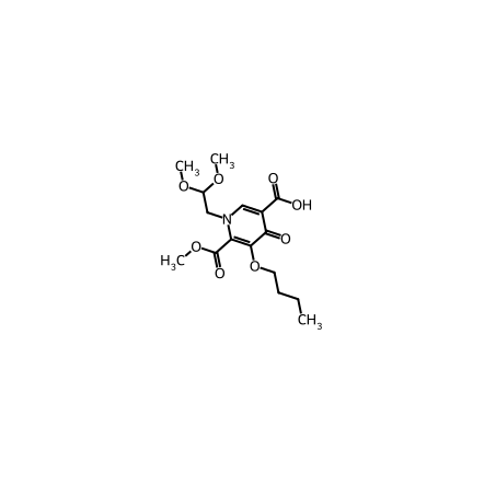 CCCCOc1c(C(=O)OC)n(CC(OC)OC)cc(C(=O)O)c1=O